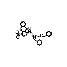 O=[N+]([O-])c1ccc2c3c(nn2CCN(CCOCc2ccccc2)Cc2ccccc2)-c2ccccc2Sc13